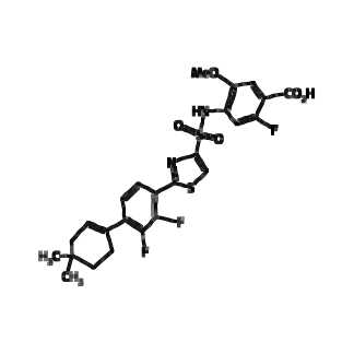 COc1cc(C(=O)O)c(F)cc1NS(=O)(=O)c1csc(-c2ccc(C3=CCC(C)(C)CC3)c(F)c2F)n1